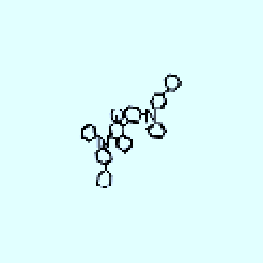 c1ccc(N(c2ccc(C3CCCCC3)cc2)c2ccc3oc4cc(N(c5ccccc5)c5ccc(C6CCCCC6)cc5)c5ccccc5c4c3c2)cc1